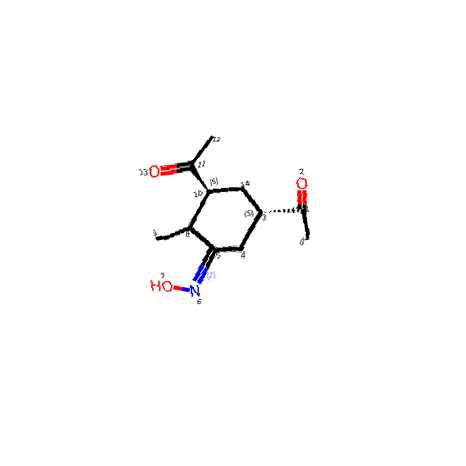 CC(=O)[C@@H]1C/C(=N/O)C(C)[C@@H](C(C)=O)C1